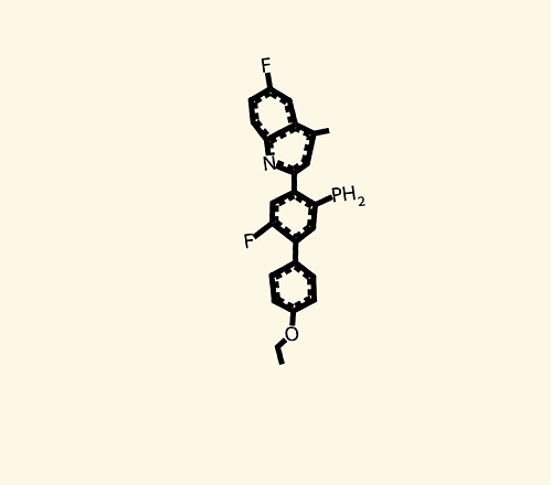 CCOc1ccc(-c2cc(P)c(-c3cc(C)c4cc(F)ccc4n3)cc2F)cc1